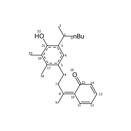 CCCCC(C)c1cc(CCC(C)=C2C=CC=CC2=O)c(C)c(C)c1O